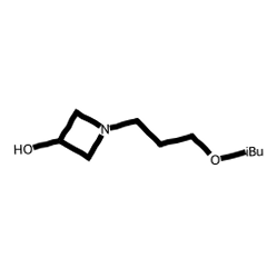 CCC(C)OCCCN1CC(O)C1